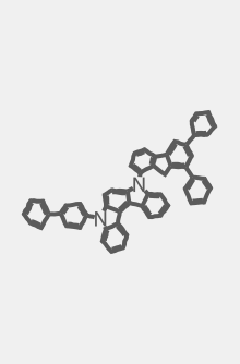 c1ccc(-c2ccc(-n3c4ccccc4c4c5c6ccccc6n(-c6cccc7c6Cc6c(-c8ccccc8)cc(-c8ccccc8)cc6-7)c5ccc43)cc2)cc1